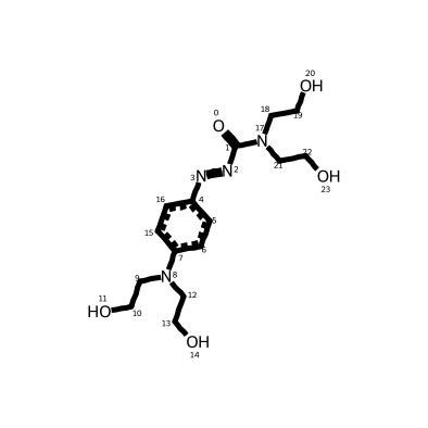 O=C(N=Nc1ccc(N(CCO)CCO)cc1)N(CCO)CCO